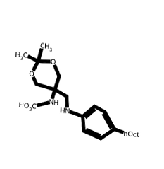 CCCCCCCCc1ccc(NCC2(NC(=O)O)COC(C)(C)OC2)cc1